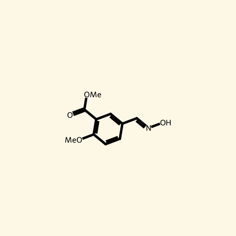 COC(=O)c1cc(/C=N/O)ccc1OC